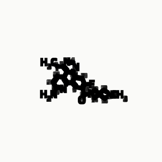 CCc1ncnc(-c2ccc(C(=O)N3CC4(CN(C)C4)C3)c(F)c2)c1-c1ccc(N)nc1